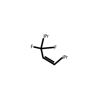 CC(C)/C=C\C(F)(F)C(C)C